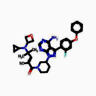 CC(C)(C=C(C#N)C(=O)N1CCCC(n2nc(-c3ccc(Oc4ccccc4)cc3F)c3c(N)ncnc32)C1)N(C1CC1)C1COC1